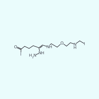 NN/C(=C\NCCOCCNCI)CCCC(=O)I